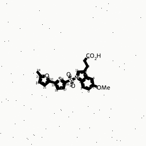 COc1ccc2c(c1)c(CCC(=O)O)cn2S(=O)(=O)c1ccc(-c2ccc(C)o2)s1